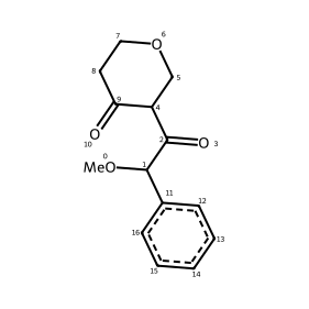 COC(C(=O)C1COCCC1=O)c1ccccc1